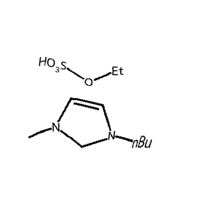 CCCCN1C=CN(C)C1.CCOS(=O)(=O)O